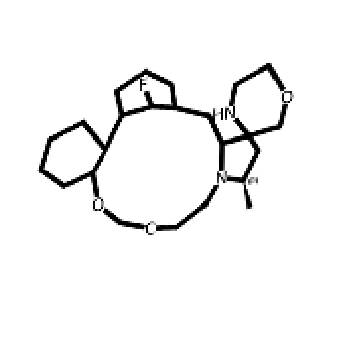 C[C@@H]1CC2(COCCN2)C2CC3CCCC(C3F)C3CCCCC3OCCCCN21